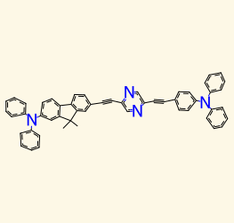 CC1(C)c2cc(C#Cc3cnc(C#Cc4ccc(N(c5ccccc5)c5ccccc5)cc4)cn3)ccc2-c2ccc(N(c3ccccc3)c3ccccc3)cc21